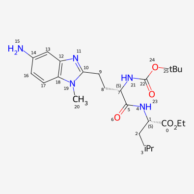 CCOC(=O)[C@H](CC(C)C)NC(=O)[C@H](CCc1nc2cc(N)ccc2n1C)NC(=O)OC(C)(C)C